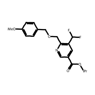 COc1ccc(COCc2ncc(C(=O)OC(C)C)cc2C(F)F)cc1